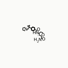 NC(=O)C1[C]C(NC(=O)c2ccc(C3(CN4CCCC4)CC3)cc2)CCO1